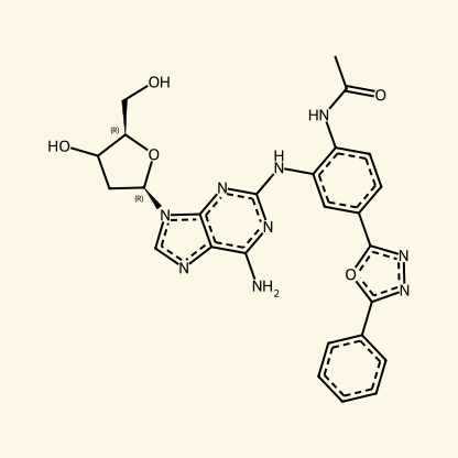 CC(=O)Nc1ccc(-c2nnc(-c3ccccc3)o2)cc1Nc1nc(N)c2ncn([C@H]3CC(O)[C@@H](CO)O3)c2n1